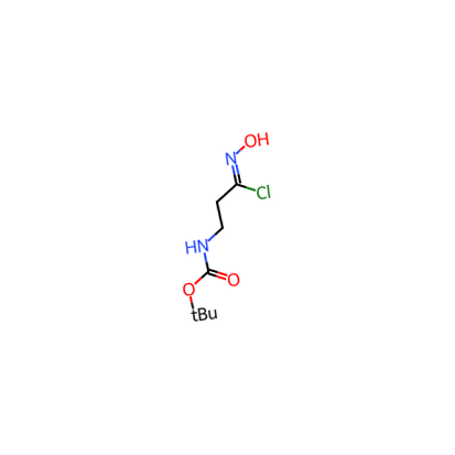 CC(C)(C)OC(=O)NCCC(Cl)=NO